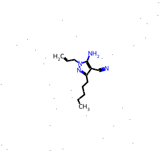 C=CCn1nc(CCCCC)c(C#N)c1N